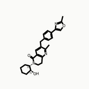 Cc1nc(-c2ccc(Cc3cc4c(nc3C)CCN([C@H]3CCCC[C@@H]3O)C4=O)cc2)co1